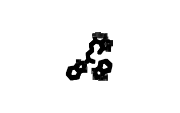 CCCCCCC(CCCC(C)n1nc2ccccc2n1)c1[nH]nnc1C.c1ccc2[nH]nnc2c1